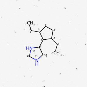 CCC1CCC(CC)C1C1CNCN1